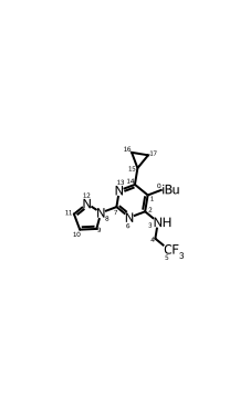 CCC(C)c1c(NCC(F)(F)F)nc(-n2cccn2)nc1C1CC1